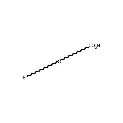 O=C(O)CCCCCCCCCCCCCCOCCCCCCCCCCCCCCCBr